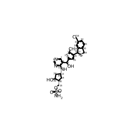 Cc1sc(C(O)c2cncnc2N[C@@H]2C[C@H](COS(N)(=O)=O)[C@@H](O)C2)cc1C1SCc2ccc(Cl)cc21